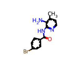 Cc1ccnc(NC(=O)c2ccc(Br)cc2)c1N